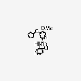 COc1cnc(C(=O)Nc2cnccc2Cl)cc1OC1CCCC1